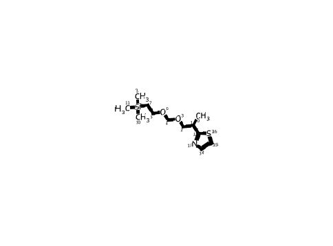 CC(COCOCC[Si](C)(C)C)c1nccs1